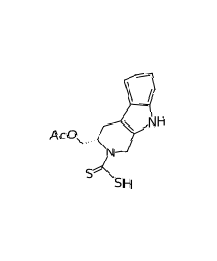 CC(=O)OC[C@@H]1Cc2c([nH]c3ccccc23)CN1C(=S)S